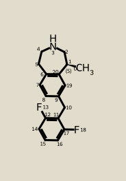 C[C@@H]1CNCCc2ccc(Cc3c(F)cccc3F)cc21